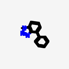 c1ccc(-c2cccc3c2N=N[N]3)cc1